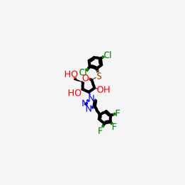 OC[C@H]1O[C@H](Sc2cc(Cl)ccc2Cl)[C@H](O)[C@@H](n2cc(-c3cc(F)c(F)c(F)c3)nn2)[C@H]1O